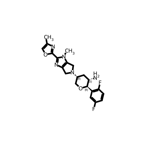 Cc1coc(-c2nc3c(n2C)CN([C@H]2CO[C@H](c4cc(F)ccc4F)[C@@H](N)C2)C3)n1